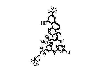 CN(c1cccc(S(=O)(=O)CCOS(=O)(=O)O)c1)c1nc(Cl)nc(Nc2ccc(/N=N\C3C(N)=CC=C4C=C(S(=O)(=O)O)C=C(O)C43)c(S(=O)(=O)O)c2)n1